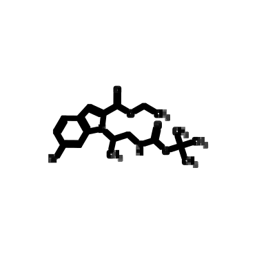 CCOC(=O)c1cc2ccc(Br)cc2n1C(C)CNC(=O)OC(C)(C)C